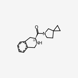 O=C([C@@H]1Cc2ccccc2CN1)N1CCC2(CC2)C1